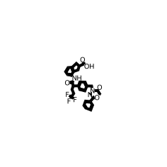 O=C(O)C1Cc2cccc(NC(=O)C(CCC(F)(F)F)c3ccc(CN4N=C(c5ccccc5)OCC4=O)cc3)c2C1